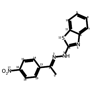 C/C(=N\Nc1nc2ccccc2s1)c1ccc([N+](=O)[O-])cc1